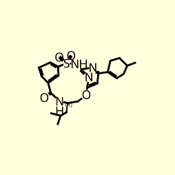 CC(C)C[C@@H]1COc2cc(C3=CCC(C)CC3)nc(n2)NS(=O)(=O)c2cccc(c2)C(=O)N1